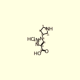 Cl.O=C(O)c1cn(C2CCNC2)nn1